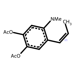 C/C=C\c1cc(OC(C)=O)c(OC(C)=O)cc1NC